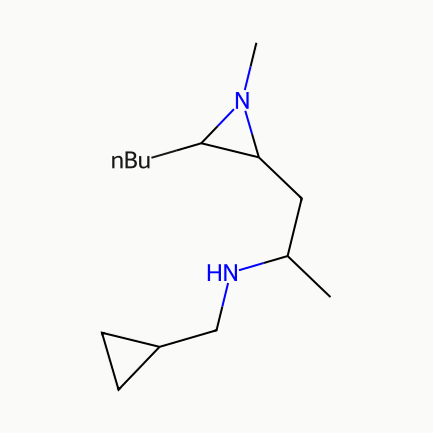 CCCCC1C(CC(C)NCC2CC2)N1C